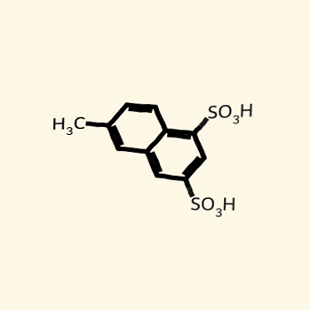 Cc1ccc2c(S(=O)(=O)O)cc(S(=O)(=O)O)cc2c1